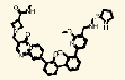 CNC(=O)C1CN(Cc2cnc3cc(-c4cccc(-c5cccc(-c6ccc(CNC[C@@H]7CCCN7)c(OC)n6)c5Cl)c4Cl)ccn3c2=O)C1